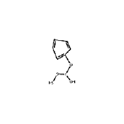 OP(Oc1ccccc1)SS